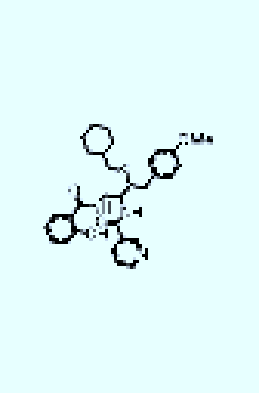 COc1ccc(CC(SCC2CCCCC2)C(CNC(=O)c2ccccc2O)NC(=O)c2cccnc2)cc1